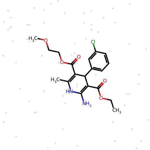 CCOC(=O)C1=C(N)NC(C)=C(C(=O)OCCOC)C1c1cccc(Cl)c1